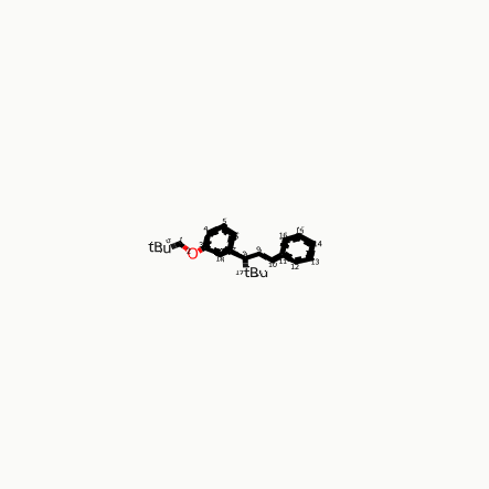 CC(C)(C)COc1cccc(C(CCc2ccccc2)C(C)(C)C)c1